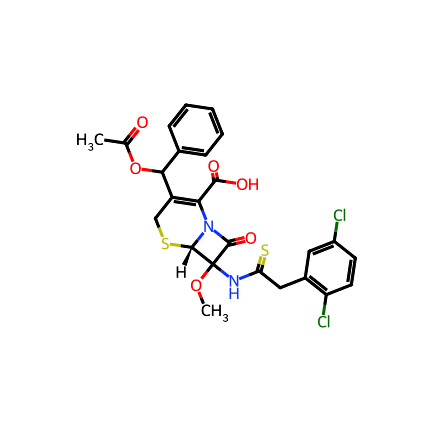 COC1(NC(=S)Cc2cc(Cl)ccc2Cl)C(=O)N2C(C(=O)O)=C(C(OC(C)=O)c3ccccc3)CS[C@H]21